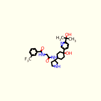 CC(C)(O)c1ccc(C2(O)CCC([C@]3(NC(=O)CNC(=O)c4cccc(C(F)(F)F)c4)CCNC3)CC2)cn1